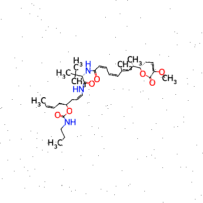 C/C=C\C[C@@H](C/C=C\NC(=O)[C@@H](NC(=O)\C=C/C=C\C(C)=C\[C@H](C)[C@@H]1CC=C(OC)C(=O)O1)C(C)(C)C)OC(=O)NCCC